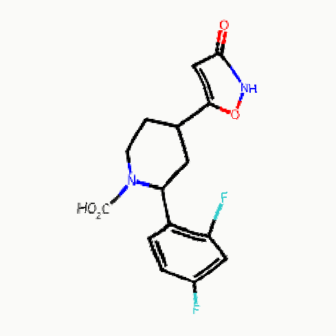 O=C(O)N1CCC(c2cc(=O)[nH]o2)CC1c1ccc(F)cc1F